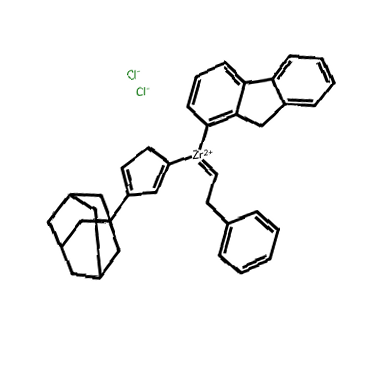 C1=[C]([Zr+2](=[CH]Cc2ccccc2)[c]2cccc3c2Cc2ccccc2-3)CC=C1C12CC3CC(CC(C3)C1)C2.[Cl-].[Cl-]